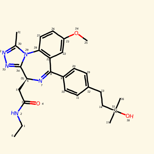 CCNC(=O)C[C@@H]1N=C(c2ccc(CC[Si](C)(C)O)cc2)c2cc(OC)ccc2-n2c(C)nnc21